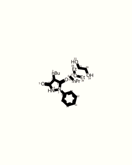 CCCC.CCCCC1C(=O)NN(c2ccccc2)C1=O.CCOCC.OCCO